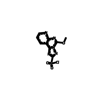 COc1nc2ncccc2c2nc(S(=O)(=O)Cl)nn12